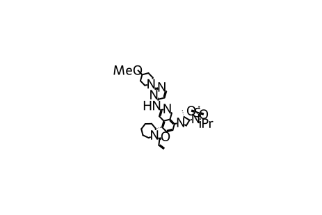 C=CC(=O)N1CCCCC[C@@H]1c1ccc(N2C[C@H](N(C(C)C)S(C)(=O)=O)[C@H]2C)c2cnc(Nc3ccnc(N4CCC(OC)CC4)n3)cc12